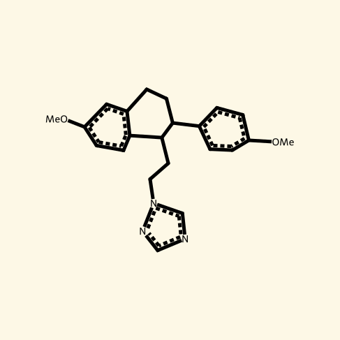 COc1ccc(C2CCc3cc(OC)ccc3C2CCn2cncn2)cc1